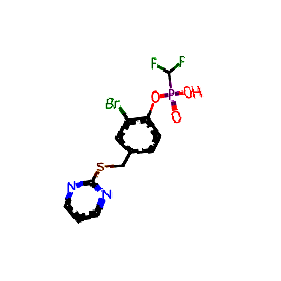 O=P(O)(Oc1ccc(CSc2ncccn2)cc1Br)C(F)F